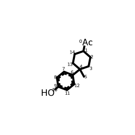 CC(=O)C1CCC(C)(c2ccc(O)cc2)CC1